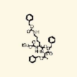 C[C@@H](OCc1ccccc1)[C@H](NC(=O)[C@H](CCCCNC(=O)OCc1ccccc1)NC(=O)OC(C)(C)C)C(=O)OCc1ccccc1